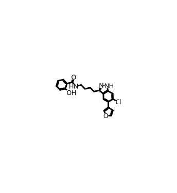 O=C(NCCCCc1n[nH]c2cc(Cl)c(-c3ccoc3)cc12)c1ccccc1O